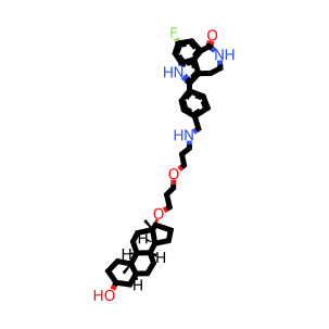 C[C@]12CCC(O)C[C@@H]1CC[C@@H]1[C@@H]2CC[C@]2(C)[C@@H](OCCCOCCCNCc3ccc(-c4[nH]c5cc(F)cc6c5c4CCNC6=O)cc3)CC[C@@H]12